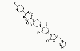 C[C@@H](NC(=O)c1ccc(F)nc1)C(=O)N1CCN(c2c(F)cc(N3C[C@H](Cn4ccnn4)OC3=O)cc2F)CC1